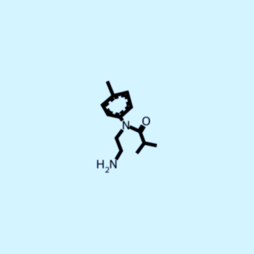 Cc1ccc(N(CCN)C(=O)C(C)C)cc1